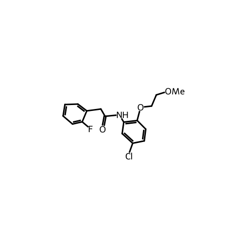 COCCOc1ccc(Cl)cc1NC(=O)Cc1ccccc1F